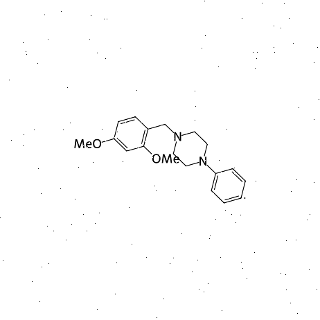 COc1ccc(CN2CCN(c3cc[c]cc3)CC2)c(OC)c1